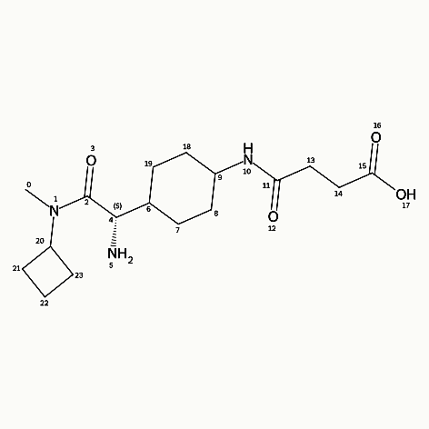 CN(C(=O)[C@@H](N)C1CCC(NC(=O)CCC(=O)O)CC1)C1CCC1